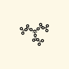 c1ccc(N(c2ccccc2)c2ccc3c(c2)c2ccccc2n3-c2ccc(-c3cc(-c4ccc(-n5c6ccccc6c6cc(N(c7ccccc7)c7ccccc7)ccc65)cc4)nc(-c4ccc(-n5c6ccccc6c6cc(N(c7ccccc7)c7ccccc7)ccc65)cc4)n3)cc2)cc1